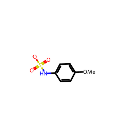 COc1ccc(NS([O])(=O)=O)cc1